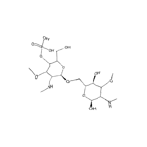 CNC1C(OC)C(OP(=O)(O)O)C(CO)O[C@H]1OCC1O[C@H](O)C(NC)C(OC)[C@@H]1O